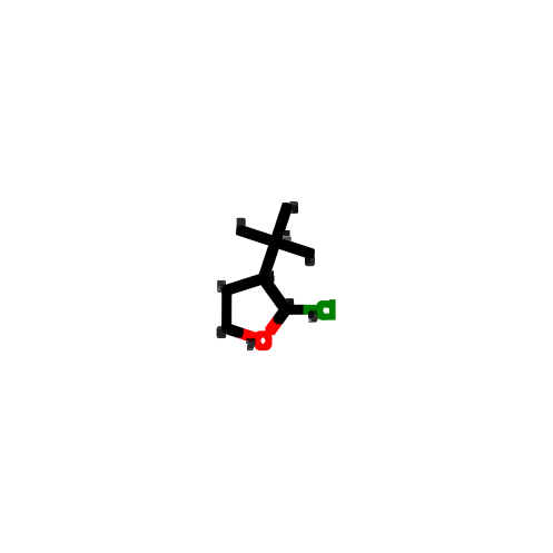 CC(C)(C)C1CCOC1Cl